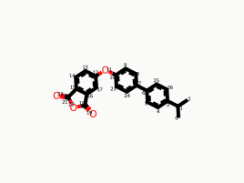 CC(C)c1ccc(-c2ccc(Oc3ccc4c(c3)C(=O)OC4=O)cc2)cc1